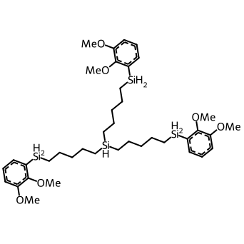 COc1cccc([SiH2]CCCCC[SiH](CCCCC[SiH2]c2cccc(OC)c2OC)CCCCC[SiH2]c2cccc(OC)c2OC)c1OC